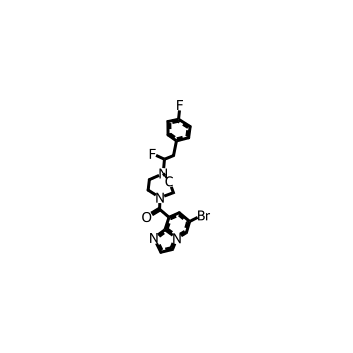 O=C(c1cc(Br)cn2ccnc12)N1CCN(C(F)Cc2ccc(F)cc2)CC1